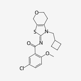 COc1ccc(Cl)cc1C(=O)N=c1sc2c(n1CC1CCC1)CCOC2